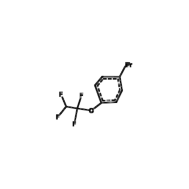 CC(C)c1ccc(OC(F)(F)C(F)F)cc1